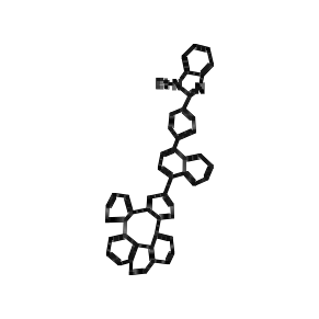 CCn1c(-c2ccc(-c3ccc(-c4ccc5c(c4)c4ccccc4c4cccc6ccc7cccc5c7c64)c4ccccc34)cc2)nc2ccccc21